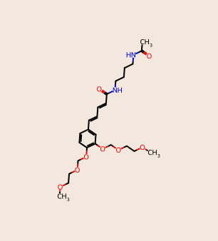 COCCOCOc1ccc(C=CC=CC(=O)NCCCCNC(C)=O)cc1OCOCCOC